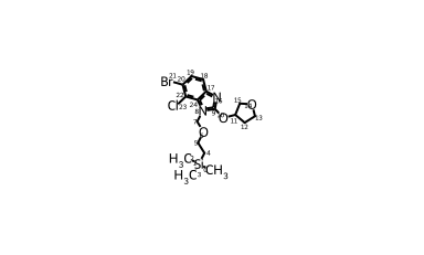 C[Si](C)(C)CCOCn1c(OC2CCOC2)nc2ccc(Br)c(Cl)c21